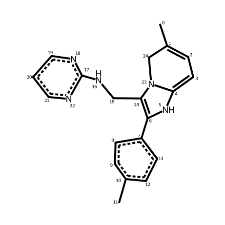 CC1=CC=C2NC(c3ccc(C)cc3)=C(CNc3ncccn3)N2C1